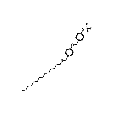 CCCCCCCCCCCCCCN=Cc1ccc(OCc2ccc(SC(F)(F)F)cc2)cc1